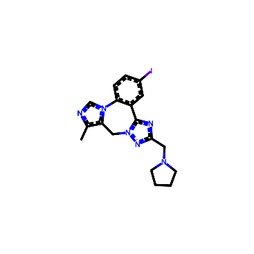 Cc1ncn2c1Cn1nc(CN3CCCC3)nc1-c1cc(I)ccc1-2